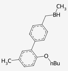 CBCc1ccc(-c2cc(C)ccc2OCCCC)cc1